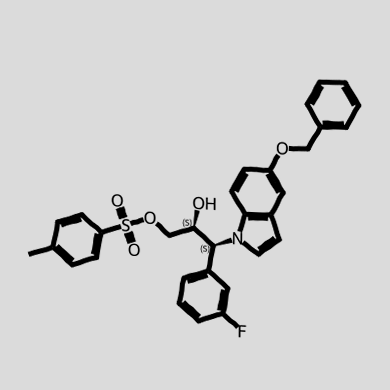 Cc1ccc(S(=O)(=O)OC[C@@H](O)[C@H](c2cccc(F)c2)n2ccc3cc(OCc4ccccc4)ccc32)cc1